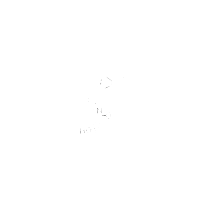 CC1(O)CC(C(=O)N2CC3(CC[C@H](Cc4ccc(C5CC5)cc4)C3)C2)C1